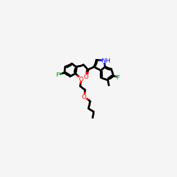 CCCCOCCOc1cc(F)ccc1CC(=O)c1c[nH]c2cc(F)c(C)cc12